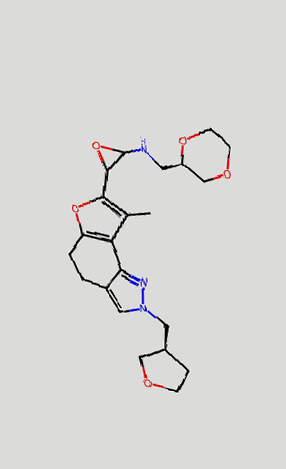 Cc1c(C2OC2NC[C@@H]2COCCO2)oc2c1-c1nn(C[C@H]3CCOC3)cc1CC2